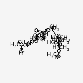 Cc1ncsc1-c1ccc([C@H](C)NC(=O)[C@@H]2C[C@@H](O)CN2C(=O)C(NC(=O)CCCCCC(=O)N(C)C2CCN(CCC(CSc3ccccc3)Nc3ccc(S(=O)(=O)NC(=O)c4ccc(N5CCN(CC6=C(C78CC(C(F)F)(C7)C8)CC(C)(C)CC6)CC5)cc4)cc3S(=O)(=O)C(F)(F)F)CC2)C(C)(C)C)cc1